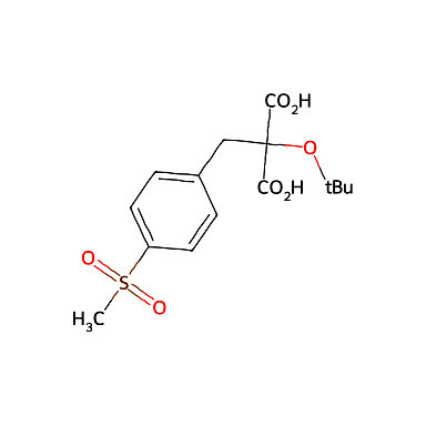 CC(C)(C)OC(Cc1ccc(S(C)(=O)=O)cc1)(C(=O)O)C(=O)O